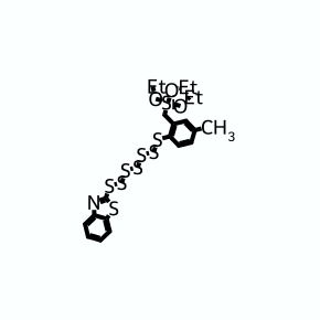 CCO[Si](Cc1cc(C)ccc1SSSSSSSc1nc2ccccc2s1)(OCC)OCC